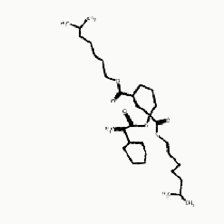 C=C(C(=O)OC1(C(=O)OCCCCCC(C)C)CCCC(C(=O)OCCCCCC(C)C)C1)C1CCCCC1